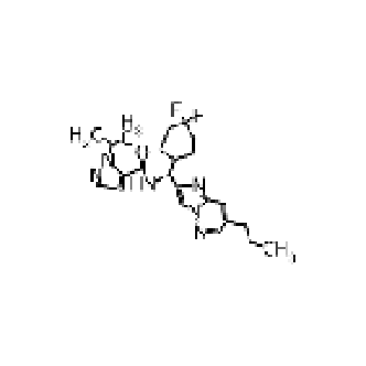 CCCc1cnn2cc([C@@H](NC(=O)c3ccnn3C(C)C)C3CCC(F)(F)CC3)nc2c1